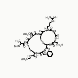 CNC(C)C(=O)NC1CSSCC(C(=O)NCC(=O)O)NC(=O)C(Cc2ccccc2)NC(=O)C2CSSCC(NC(=O)C(CC(=O)O)NC1=O)C(=O)NC(CCCNC(=N)N)C(=O)NCC(=O)NC(CC(=O)O)C(=O)N2